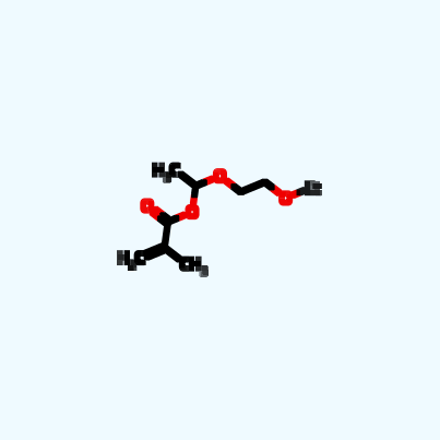 C=C(C)C(=O)OC(C)OCCOCC